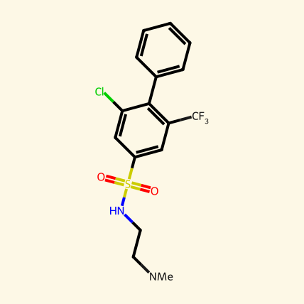 CNCCNS(=O)(=O)c1cc(Cl)c(-c2ccccc2)c(C(F)(F)F)c1